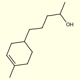 CC1=CCC(CCCC(C)O)CC1